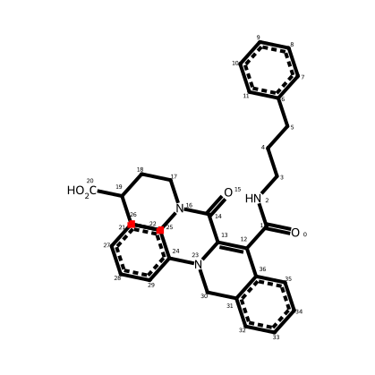 O=C(NCCCc1ccccc1)C1=C(C(=O)N2CCC(C(=O)O)CC2)N(c2ccccc2)Cc2ccccc21